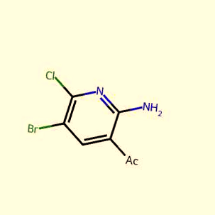 CC(=O)c1cc(Br)c(Cl)nc1N